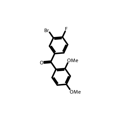 COc1ccc(C(=O)c2ccc(F)c(Br)c2)c(OC)c1